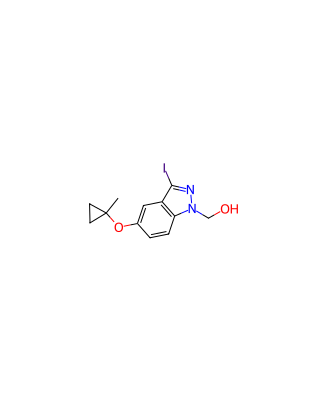 CC1(Oc2ccc3c(c2)c(I)nn3CO)CC1